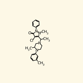 Cc1cccc(N2CCN(C(C)c3c(Cl)c(=O)n(-c4ccccc4)n3C)CC2C)c1